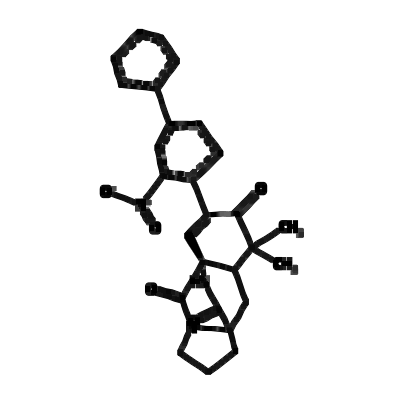 CC1(C)C(=O)C(c2ccc(-c3ccccc3)cc2[N+](=O)[O-])=C[C@@]23NC(=O)C4(CCCN4C2=O)CC13